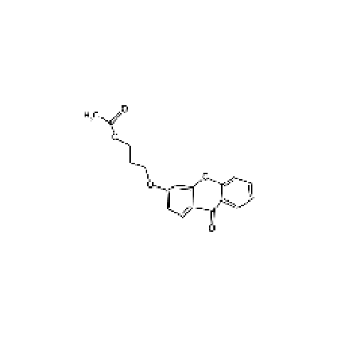 CC(=O)OCCCOc1ccc2c(=O)c3ccccc3oc2c1